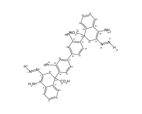 [H]/N=N/C1=C(N)c2ccccc2C(C(=O)O)(c2ccc(-c3ccc(C4(C(=O)O)CC(/N=N/[H])=C(N)c5ccccc54)c(CCC)c3)cc2CCC)C1